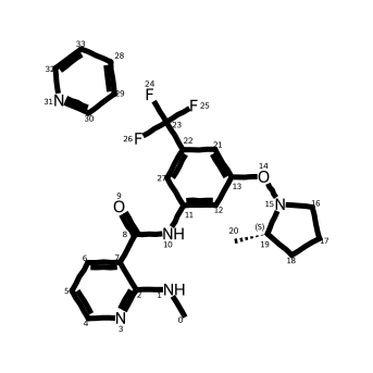 CNc1ncccc1C(=O)Nc1cc(ON2CCC[C@@H]2C)cc(C(F)(F)F)c1.c1ccncc1